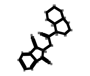 O=C1c2ccccc2C(=O)N1CC(=O)N1CCCC2CCCCC21